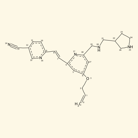 C=CCOc1cc(/C=C/c2ccc(C#N)cn2)nc(CNCC2CCNC2)c1